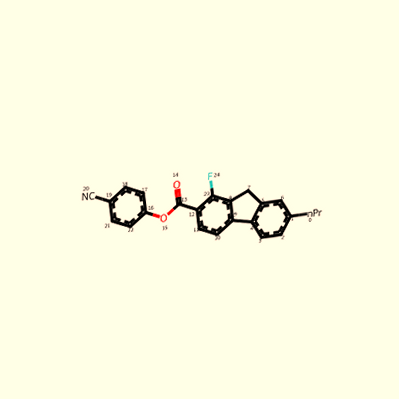 CCCc1ccc2c(c1)Cc1c-2ccc(C(=O)Oc2ccc(C#N)cc2)c1F